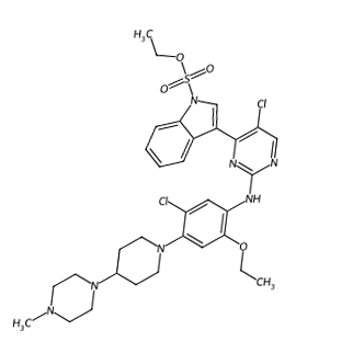 CCOc1cc(N2CCC(N3CCN(C)CC3)CC2)c(Cl)cc1Nc1ncc(Cl)c(-c2cn(S(=O)(=O)OCC)c3ccccc23)n1